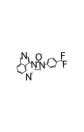 N#C[C@H]1CN(c2ccc(C(F)F)cc2)C(=O)N1c1cncc2ccccc12